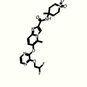 Cc1c(Oc2nccnc2OCC(F)F)ccc2nc(C(=O)NC3(C)CCS(=O)(=O)CC3)cn12